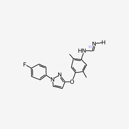 [H]/N=C/Nc1cc(C)c(Oc2ccn(-c3ccc(F)cc3)n2)cc1C